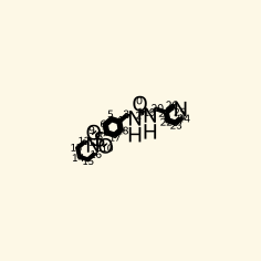 O=C(NCc1ccc(S(=O)(=O)N2CCCCC2)cc1)NCc1cccnc1